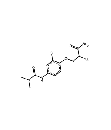 CCC(SOc1ccc(NC(=O)N(C)C)cc1Cl)C(N)=O